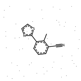 Cc1c(C#N)cccc1-c1nccs1